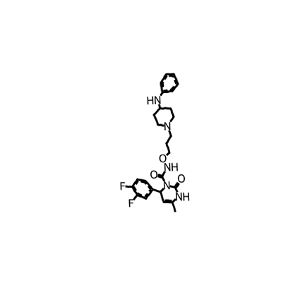 CC1=CC(c2ccc(F)c(F)c2)N(C(=O)NOCCCN2CCC(Nc3ccccc3)CC2)C(=O)N1